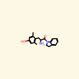 Cc1cc(O)cc(C)c1CC(N)C(=O)N1CCc2ccccc21